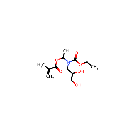 C=C(C)C(=O)OC(C)N(CC(O)CO)C(=O)OCC